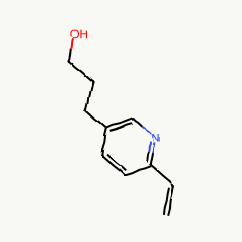 C=Cc1ccc(CCCO)cn1